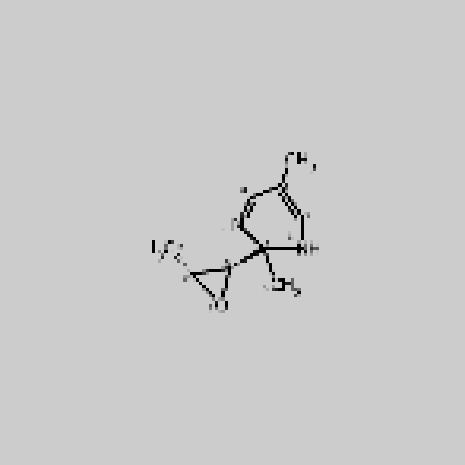 CC1=CNC(C)([C@H]2O[C@@H]2C)N=C1